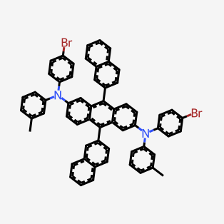 Cc1cccc(N(c2ccc(Br)cc2)c2ccc3c(-c4ccc5ccccc5c4)c4cc(N(c5ccc(Br)cc5)c5cccc(C)c5)ccc4c(-c4ccc5ccccc5c4)c3c2)c1